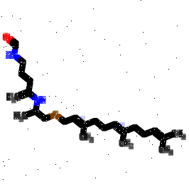 C=C(CCCNC=O)NC(C)CSC/C=C(\C)CC/C=C(\C)CCC=C(C)C